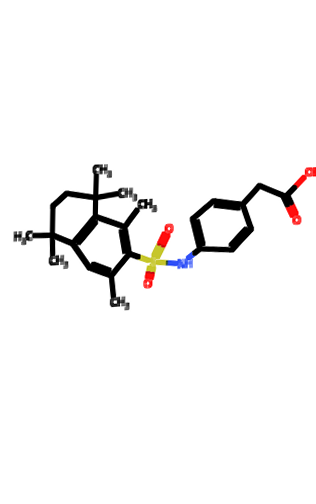 Cc1cc2c(c(C)c1S(=O)(=O)Nc1ccc(CC(=O)O)cc1)C(C)(C)CCC2(C)C